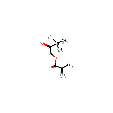 C=C(C)C(=O)OCC(=O)[Si](C)(C)C